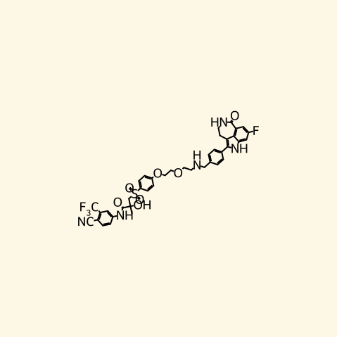 CC(O)(CS(=O)(=O)c1ccc(OCCOCCNCc2ccc(-c3[nH]c4cc(F)cc5c4c3CCNC5=O)cc2)cc1)C(=O)Nc1ccc(C#N)c(C(F)(F)F)c1